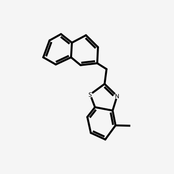 Cc1cccc2sc(Cc3ccc4ccccc4c3)nc12